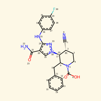 N#C[C@@H]1CCN(C(=O)O)C(Cc2ccccc2)[C@H]1n1cc(C(N)=O)c(Nc2ccc(F)cc2)n1